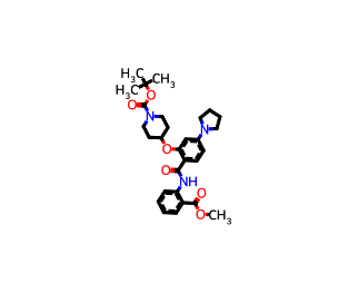 COC(=O)c1ccccc1NC(=O)c1ccc(N2CCCC2)cc1OC1CCN(C(=O)OC(C)(C)C)CC1